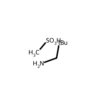 CC(C)(C)CN.CS(=O)(=O)O